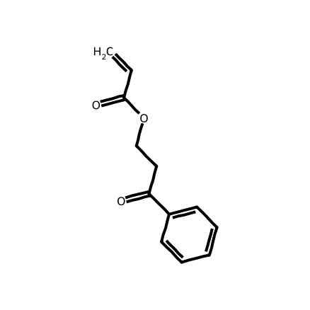 C=CC(=O)OCCC(=O)c1ccccc1